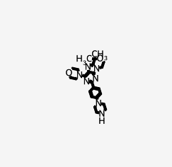 CC1(C)OCCn2c1nc1c(N3CCOCC3)nc(-c3ccc(N4CCNCC4)cc3)nc12